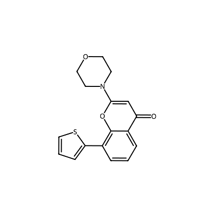 O=c1cc(N2CCOCC2)oc2c(-c3cccs3)cccc12